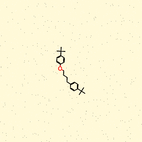 CC(C)(C)c1ccc(CCCCOc2ccc(C(C)(C)C)cc2)cc1